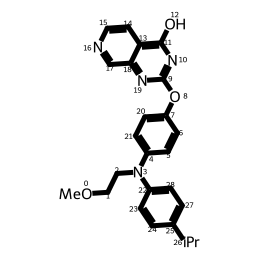 COCCN(c1ccc(Oc2nc(O)c3ccncc3n2)cc1)c1ccc(C(C)C)cc1